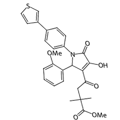 COC(=O)C(C)(C)CC(=O)C1=C(O)C(=O)N(c2ccc(-c3ccsc3)cc2)C1c1ccccc1OC